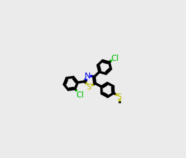 CSc1ccc(-c2sc(-c3ccccc3Cl)nc2-c2ccc(Cl)cc2)cc1